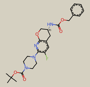 CC(C)(C)OC(=O)N1CCN(c2nc3c(cc2F)C[C@@H](NC(=O)OCc2ccccc2)CO3)CC1